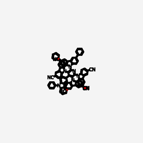 N#Cc1ccc2c(c1)c1cc(C#N)ccc1n2-c1nc(-n2c3ccc(-c4ccccc4)cc3c3cc(-c4ccccc4)ccc32)c(-n2c3ccc(C#N)cc3c3cc(C#N)ccc32)c(-c2ccc3c(c2)c2ccccc2n3-c2ccccc2)c1-n1c2ccc(C#N)cc2c2cc(C#N)ccc21